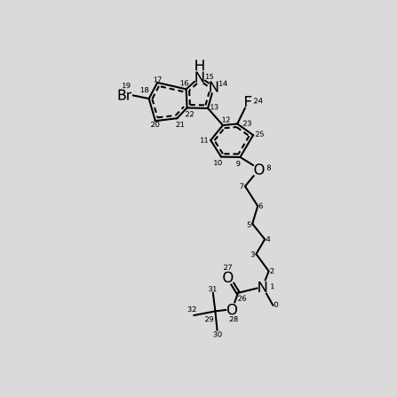 CN(CCCCCCOc1ccc(-c2n[nH]c3cc(Br)ccc23)c(F)c1)C(=O)OC(C)(C)C